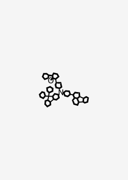 c1ccc(C2(c3ccccc3)c3ccccc3-c3ccc(N(c4ccc(-c5ccc6c7c(cccc57)-c5ccccc5-6)cc4)c4ccc(-c5cccc6c5oc5ccccc56)cc4)cc32)cc1